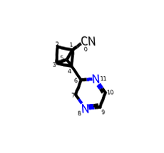 N#CC12CC(C1)C2C1CN=CC=N1